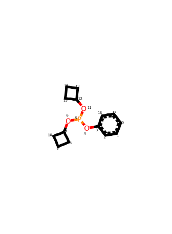 c1ccc(OP(OC2CCC2)OC2CCC2)cc1